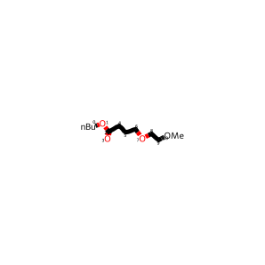 CCCCOC(=O)CCCOCCOC